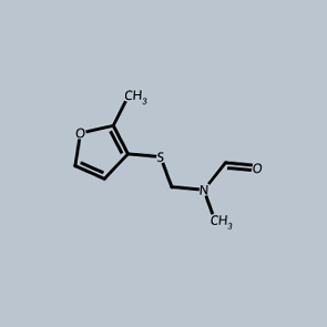 Cc1occc1SCN(C)C=O